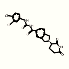 O=C1CCC(N2Cc3ccc(C(=O)NC(=O)Nc4ccc(Cl)c(Cl)c4)cc3C2)C(=O)N1